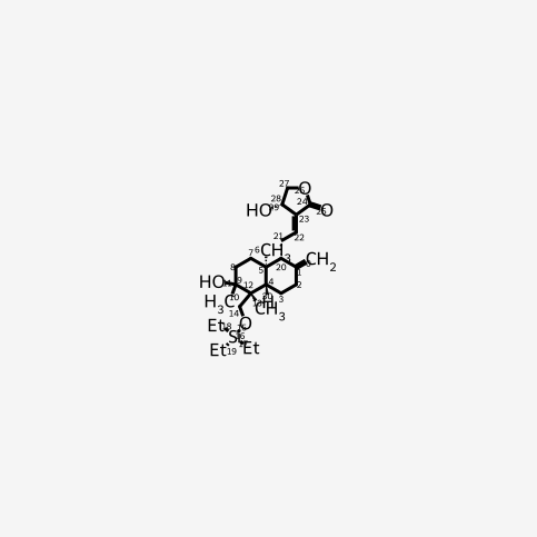 C=C1CC[C@H]2[C@@](C)(CCC(C)(O)[C@@]2(C)CO[Si](CC)(CC)CC)[C@@H]1C/C=C1/C(=O)OC[C@H]1O